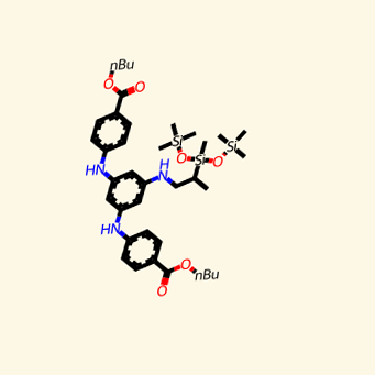 CCCCOC(=O)c1ccc(Nc2cc(NCC(C)[Si](C)(O[Si](C)(C)C)O[Si](C)(C)C)cc(Nc3ccc(C(=O)OCCCC)cc3)c2)cc1